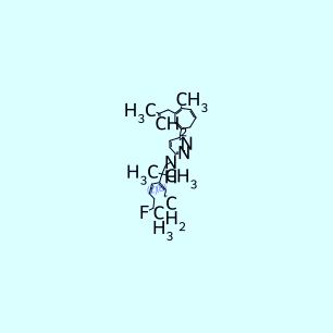 C=C/C=C(\C=C/CC(C)F)C(C)(C)CNc1ccc(C2=CC(CC(=C)C)=C(C)C=CC2)nn1